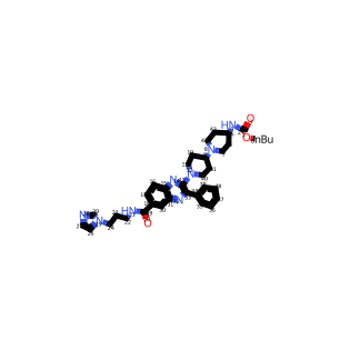 CCCCOC(=O)NC1CCN(C2CCN(c3nc4ccc(C(=O)NCCCn5ccnc5)cc4nc3-c3ccccc3)CC2)CC1